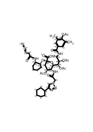 COC(=O)[C@@]1(O[C@H]2CCCC[C@H]2NC(=O)CN=[N+]=[N-])C[C@H](OC(C)=O)[C@@H](NC(=O)Cn2cc(C3CCCCC3)nn2)[C@H]([C@H](OC(C)=O)[C@@H](CNC(=O)c2cc(C)c(OC(C)=O)c(C)c2)OC(C)=O)O1